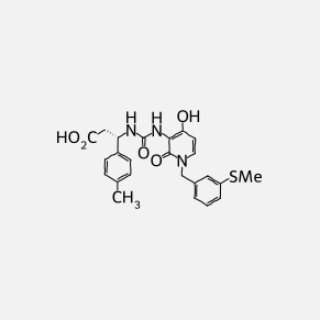 CSc1cccc(Cn2ccc(O)c(NC(=O)N[C@@H](CC(=O)O)c3ccc(C)cc3)c2=O)c1